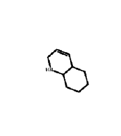 C1=CC2CCCCC2NC1